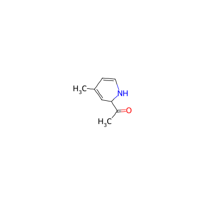 CC(=O)C1C=C(C)C=CN1